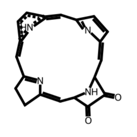 O=C1C(=O)C2C=C3CCC(=N3)C=c3ccc([nH]3)=CC3=NC(=CC1N2)C=C3